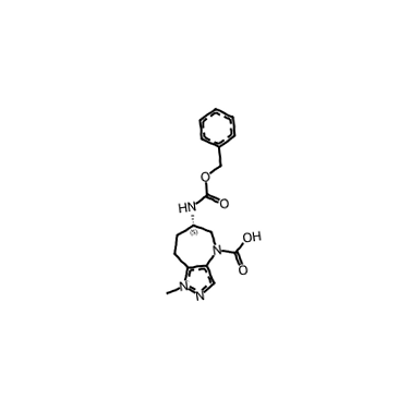 Cn1ncc2c1CC[C@H](NC(=O)OCc1ccccc1)CN2C(=O)O